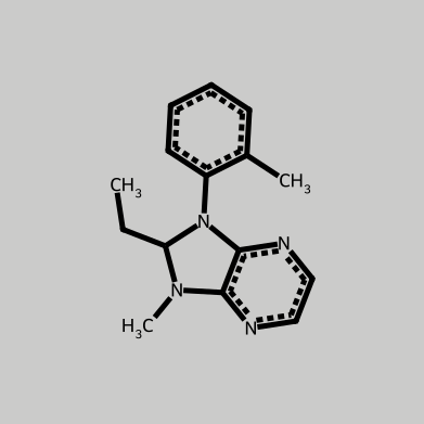 CCC1N(C)c2nccnc2N1c1ccccc1C